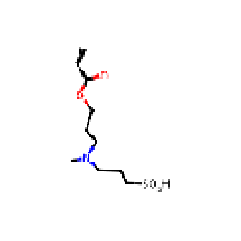 C=CC(=O)OCCCN(C)CCCS(=O)(=O)O